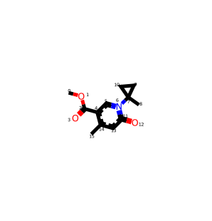 COC(=O)c1cn(C2(C)CC2)c(=O)cc1C